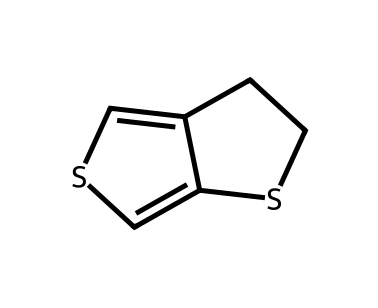 c1scc2c1CCS2